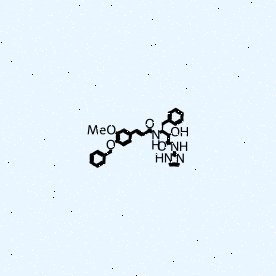 COc1cc(/C=C/C(=O)N[C@@H](Cc2ccccc2)[C@@H](O)C(=O)Nc2ncc[nH]2)ccc1OCc1ccccc1